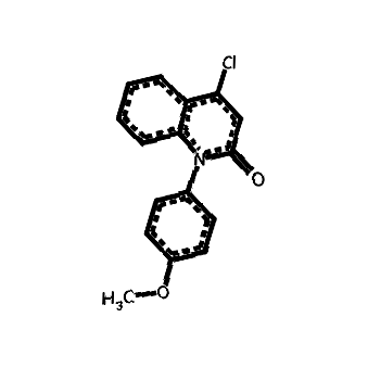 COc1ccc(-n2c(=O)cc(Cl)c3ccccc32)cc1